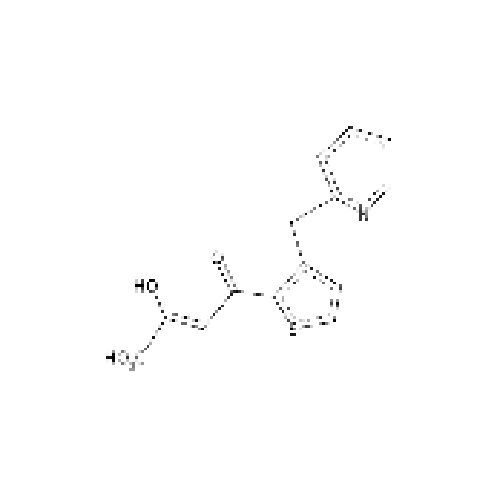 O=C(O)C(O)=CC(=O)c1sccc1Cc1ccccn1